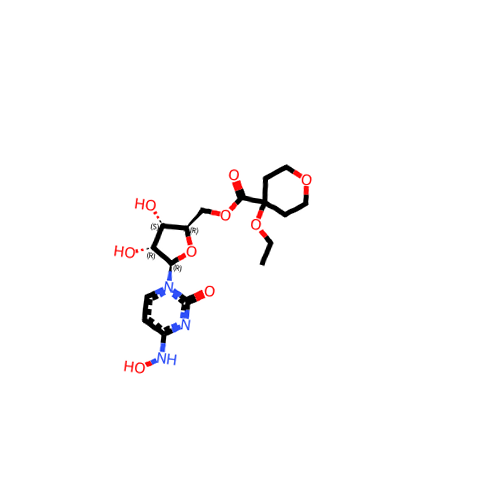 CCOC1(C(=O)OC[C@H]2O[C@@H](n3ccc(NO)nc3=O)[C@H](O)[C@@H]2O)CCOCC1